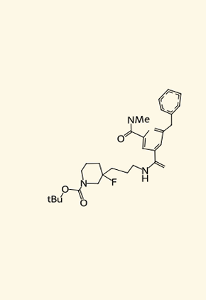 C=C(/C=C(\C=C(/C)C(=O)NC)C(=C)NCCCC1(F)CCCN(C(=O)OC(C)(C)C)C1)Cc1ccccc1